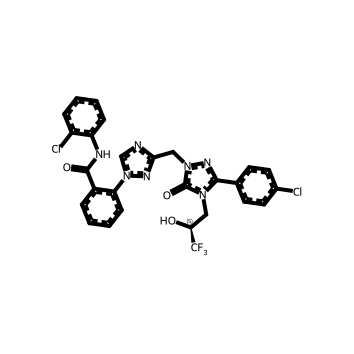 O=C(Nc1ccccc1Cl)c1ccccc1-n1cnc(Cn2nc(-c3ccc(Cl)cc3)n(C[C@H](O)C(F)(F)F)c2=O)n1